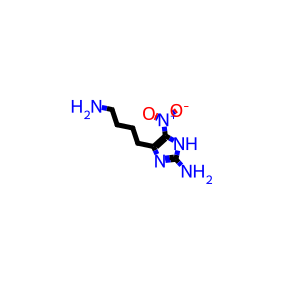 NCCCCc1nc(N)[nH]c1[N+](=O)[O-]